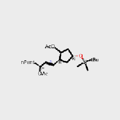 CCCCC[C@@H](/C=C/[C@@H]1C[C@@H](O[Si](C)(C)C(C)(C)C)C[C]1OC(C)=O)OC(C)=O